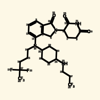 O=C1CCC(N2Cc3c(cccc3N(CCCC(F)(F)C(F)(F)F)C3CCC(NCCC(F)(F)F)CC3)C2=O)C(=O)N1